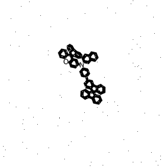 c1ccc2c(c1)Oc1ccc(N(c3ccc(-c4ccc5c(c4)-c4ccccc4C54c5ccccc5-c5ccccc54)cc3)c3ccc4ccccc4c3)cc1C21c2ccccc2-c2ccccc21